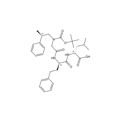 CC(C)C[C@@H](NC(=O)[C@@H](CCc1ccccc1)NC(=O)CN(C[C@H](C)c1ccccc1)C(=O)OC(C)(C)C)C(=O)O